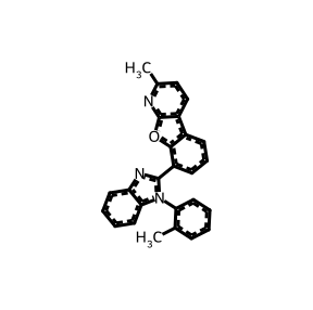 Cc1ccc2c(n1)oc1c(-c3nc4ccccc4n3-c3ccccc3C)cccc12